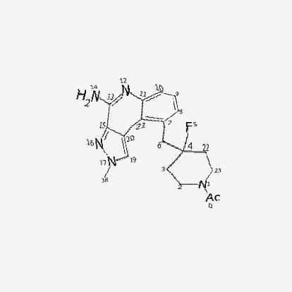 CC(=O)N1CCC(F)(Cc2cccc3nc(N)c4nn(C)cc4c23)CC1